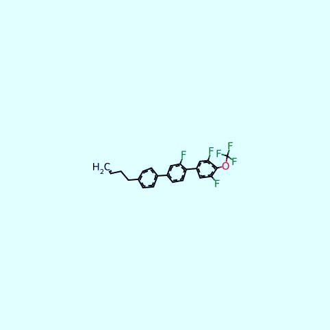 C=CCCc1ccc(-c2ccc(-c3cc(F)c(OC(F)(F)F)c(F)c3)c(F)c2)cc1